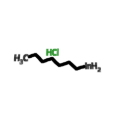 CCCCCC[CH2][InH2].Cl